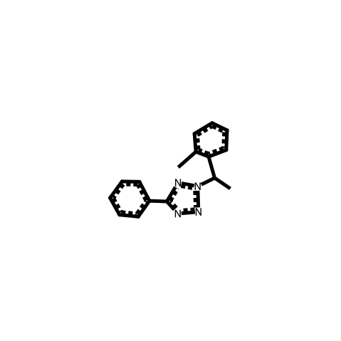 Cc1ccccc1C(C)n1nnc(-c2ccccc2)n1